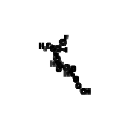 CCOc1cc(-c2ccc(F)cc2)c(C2CC2)cc1CN1CCC2(CC1)CN(c1ccc(C(=O)NCCOCCOCCO)cc1)C(=O)N2